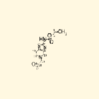 C=CCOC(=O)Nc1nc2c(s1)CCN(C[C@@H]1CO1)C2